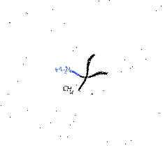 C.CC(C)(C)N